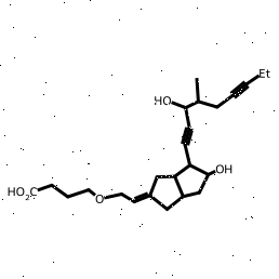 CCC#CCC(C)C(O)C#CC1C(O)CC2CC(=CCOCCCC(=O)O)CC21